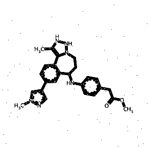 COC(=O)Cc1ccc(NC2CCN3NNC(C)=C3c3ccc(-c4cnn(C)c4)cc32)cc1